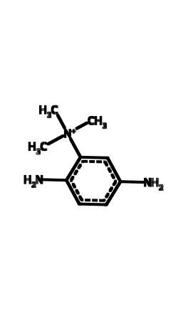 C[N+](C)(C)c1cc(N)ccc1N